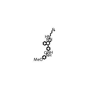 COc1ccc(NC(=O)Nc2ccc(C3Cc4cnc(NCCCCN(C)C)nc4-c4ccccc43)cc2)cc1